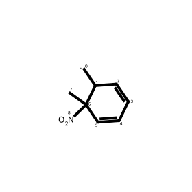 [CH2]C1C=CC=CC1(C)[N+](=O)[O-]